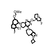 CCc1c(F)ccc2cc(OCOC)cc(N3CCc4c(nc(OC[C@@]56CCCN5C[C@H](F)C6)nc4N4CCCc5c(cnn5C5CCC5)C4)C3)c12